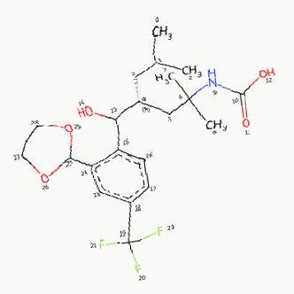 CC(C)C[C@H](CC(C)(C)NC(=O)O)C(O)c1ccc(C(F)(F)F)cc1C1OCCO1